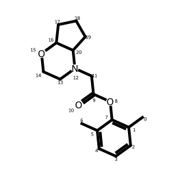 Cc1cccc(C)c1OC(=O)CN1CCOC2CCCC21